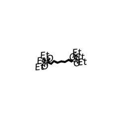 CCO[Si](CC)(CCCCCCC[Si](CC)(OCC)OCC)OCC